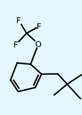 CC(C)(C)CC1=CC=CCC1OC(F)(F)F